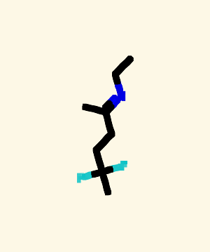 CC/N=C(\C)CCC(C)(F)F